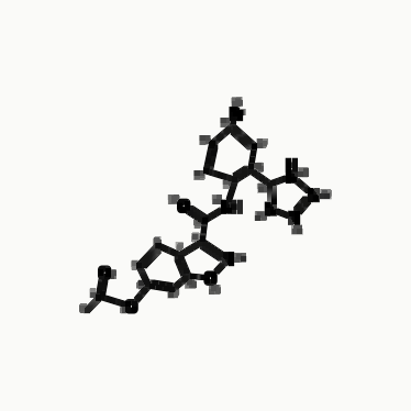 CC(=O)Oc1ccc2c(C(=O)Nc3ccc(Br)cc3-c3nnn[nH]3)noc2c1